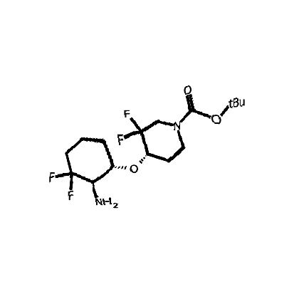 CC(C)(C)OC(=O)N1CC[C@H](O[C@H]2CCCC(F)(F)[C@@H]2N)C(F)(F)C1